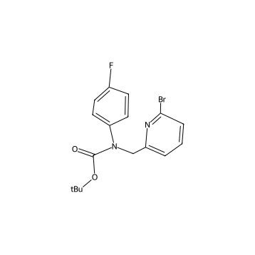 CC(C)(C)OC(=O)N(Cc1cccc(Br)n1)c1ccc(F)cc1